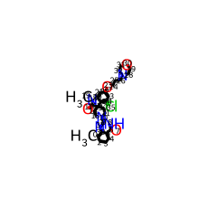 Cc1cccc2c(=O)[nH]c(N3CCC4(CC3)C(=O)N(C)c3cc(OCCCN5CCOCC5)cc(Cl)c34)nc12